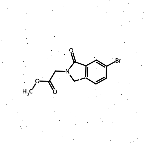 COC(=O)CN1Cc2ccc(Br)cc2C1=O